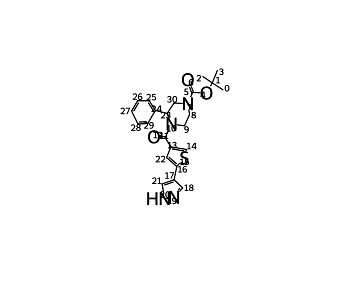 CC(C)(C)OC(=O)N1CCN(C(=O)c2csc(-c3cn[nH]c3)c2)C(c2ccccc2)C1